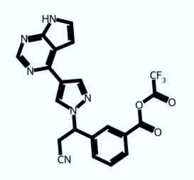 N#CCC(c1cccc(C(=O)OC(=O)C(F)(F)F)c1)n1cc(-c2ncnc3[nH]ccc23)cn1